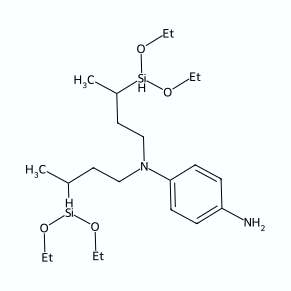 CCO[SiH](OCC)C(C)CCN(CCC(C)[SiH](OCC)OCC)c1ccc(N)cc1